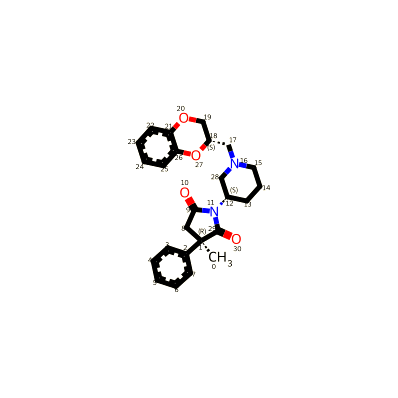 C[C@]1(c2ccccc2)CC(=O)N([C@H]2CCCN(C[C@H]3COc4ccccc4O3)C2)C1=O